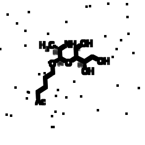 CC(=O)CCCCO[C@H](OC(CO)[C@H](O)CO)[C@H](C)N